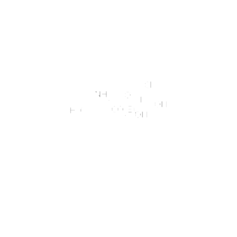 CCOC(=O)C(C)(N)Cc1ccccc1.O=P(O)(O)Cl